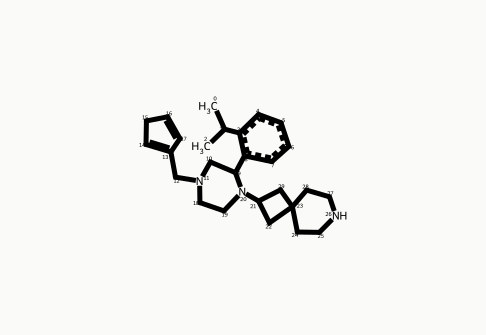 CC(C)c1ccccc1C1CN(CC2=CCC=C2)CCN1C1CC2(CCNCC2)C1